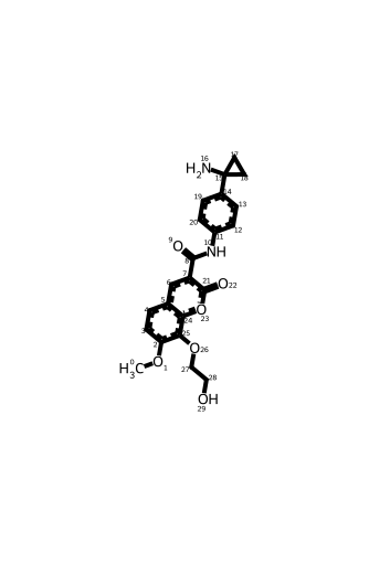 COc1ccc2cc(C(=O)Nc3ccc(C4(N)CC4)cc3)c(=O)oc2c1OCCO